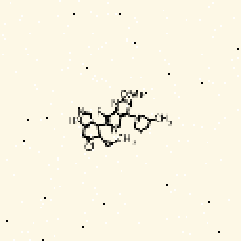 COc1nc(N2CCCC(C)C2)c2cnc(-c3c(C4CC4C)c(Cl)cc4[nH]ncc34)c(F)c2n1